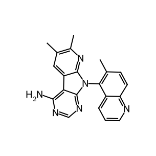 Cc1cc2c3c(N)ncnc3n(-c3c(C)ccc4ncccc34)c2nc1C